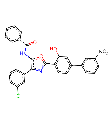 O=C(Nc1oc(-c2ccc(-c3cccc([N+](=O)[O-])c3)cc2O)nc1-c1cccc(Cl)c1)c1ccccc1